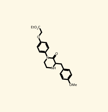 CCOC(=O)COc1ccc(N2CCNC(Cc3ccc(OC)cc3)C2=O)cc1